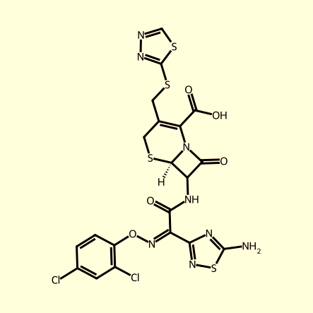 Nc1nc(/C(=N/Oc2ccc(Cl)cc2Cl)C(=O)NC2C(=O)N3C(C(=O)O)=C(CSc4nncs4)CS[C@H]23)ns1